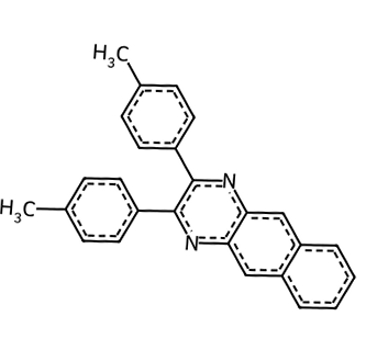 Cc1ccc(-c2nc3cc4ccccc4cc3nc2-c2ccc(C)cc2)cc1